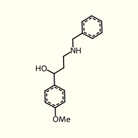 COc1ccc(C(O)CCNCc2ccccc2)cc1